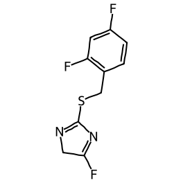 FC1=NC(SCc2ccc(F)cc2F)=NC1